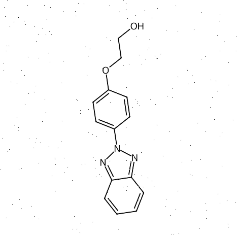 OCCOc1ccc(-n2nc3ccccc3n2)cc1